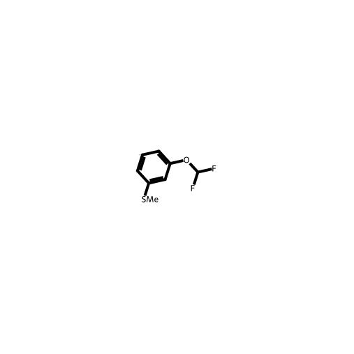 CSc1c[c]cc(OC(F)F)c1